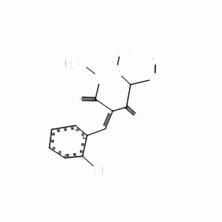 COC(=O)/C(=C\c1ccccc1Cl)C(=O)C(OC)OC